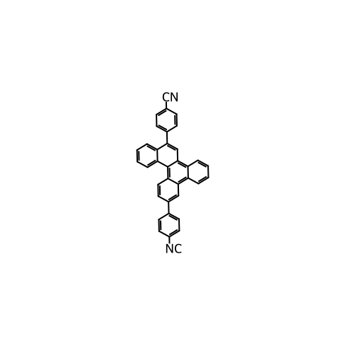 [C-]#[N+]c1ccc(-c2ccc3c(c2)c2ccccc2c2cc(-c4ccc(C#N)cc4)c4ccccc4c32)cc1